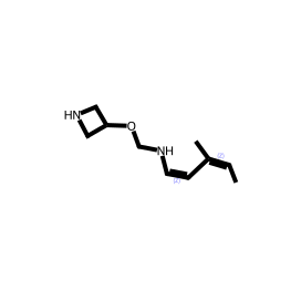 C/C=C(C)\C=C/NCOC1CNC1